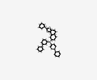 C1=CC(c2ccccc2)CC=C1N(c1cccc(-c2ccccc2)c1)c1ccc2ccc3oc(-c4ccccc4)nc3c2c1